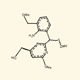 COCc1cccc(C(SOC)c2nc(CO)cc(OC)n2)c1N